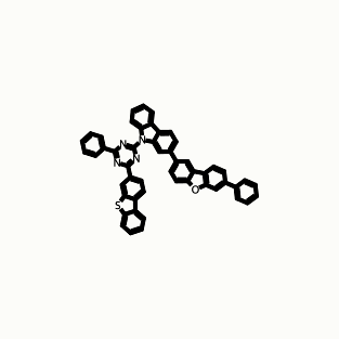 c1ccc(-c2ccc3c(c2)oc2ccc(-c4ccc5c6ccccc6n(-c6nc(-c7ccccc7)nc(-c7ccc8c(c7)sc7ccccc78)n6)c5c4)cc23)cc1